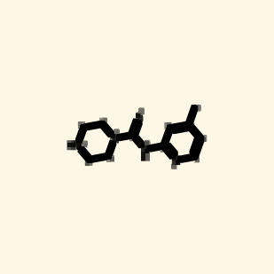 Cc1ccnc(NC(=S)N2CCNCC2)c1